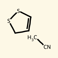 C1=CSSC1.CC#N